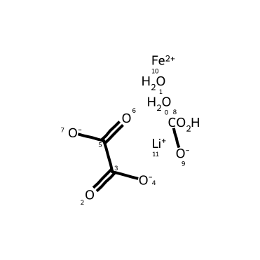 O.O.O=C([O-])C(=O)[O-].O=C([O-])O.[Fe+2].[Li+]